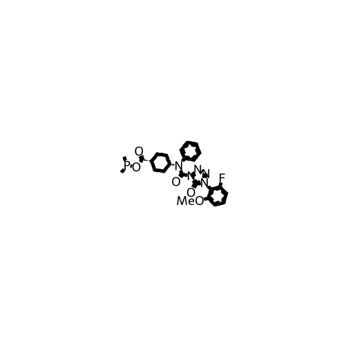 COc1cccc(F)c1-n1nnn(C(=O)N(c2ccccc2)[C@H]2CC[C@@H](C(=O)OP(C)C)CC2)c1=O